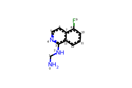 NCNc1nccc2c(F)cccc12